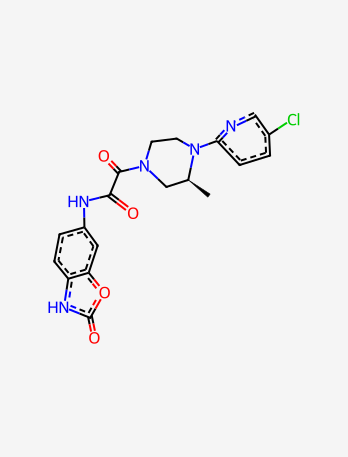 C[C@H]1CN(C(=O)C(=O)Nc2ccc3[nH]c(=O)oc3c2)CCN1c1ccc(Cl)cn1